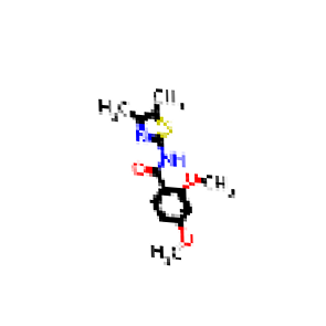 COc1ccc(C(=O)Nc2nc(C)c(C)s2)c(OC)c1